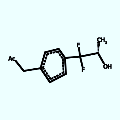 CC(=O)Cc1ccc(C(F)(F)[C@H](C)O)cc1